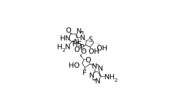 Nc1nc2c(ncn2[C@@H]2S[C@H](CO)[C@@H](O)[C@H]2P(=O)(S)OC[C@H]2O[C@@H](n3cnc4c(N)ncnc43)[C@@H](F)[C@@H]2O)c(=O)[nH]1